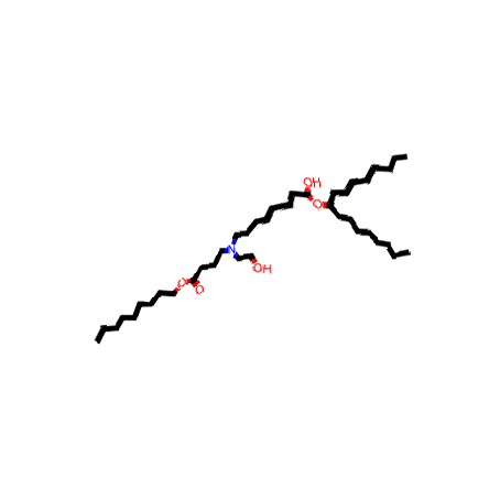 CCCCCCCCCOC(=O)CCCN(CCO)CCCCCCCC(O)OC(CCCCCCCC)CCCCCCCC